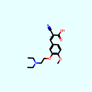 CCN(CC)CCOc1cc(/C=C(/C#N)C(=O)O)ccc1OC